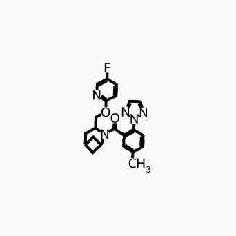 Cc1ccc(-n2nccn2)c(C(=O)N2C(COc3ccc(F)cn3)CC3CC2C3)c1